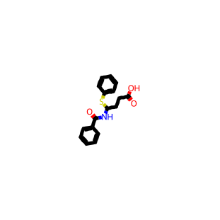 O=C(O)CCC(NC(=O)c1ccccc1)Sc1ccccc1